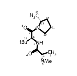 CN[C@@H](C)C(=O)N[C@H](C(=O)N1CCC[C@H]1C)C(C)(C)C